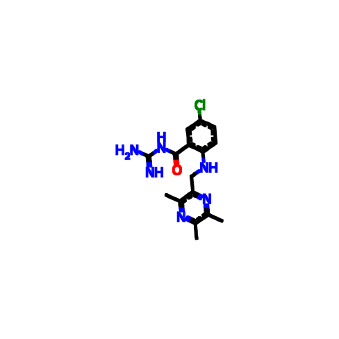 Cc1nc(C)c(CNc2ccc(Cl)cc2C(=O)NC(=N)N)nc1C